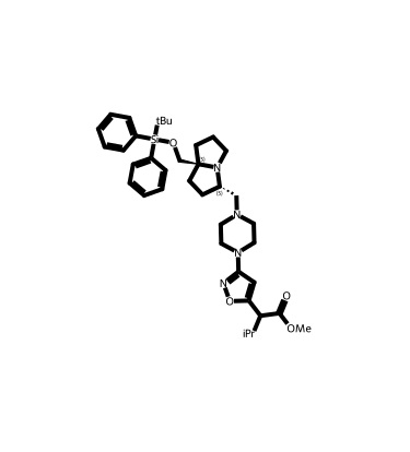 COC(=O)C(c1cc(N2CCN(C[C@@H]3CC[C@]4(CO[Si](c5ccccc5)(c5ccccc5)C(C)(C)C)CCCN34)CC2)no1)C(C)C